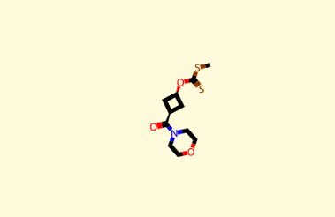 CSC(=S)O[C@H]1C[C@@H](C(=O)N2CCOCC2)C1